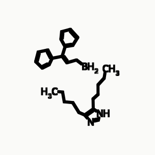 BCC=C(c1ccccc1)c1ccccc1.CCCCCc1nc[nH]c1CCCCC